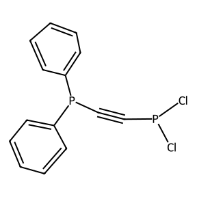 ClP(Cl)C#CP(c1ccccc1)c1ccccc1